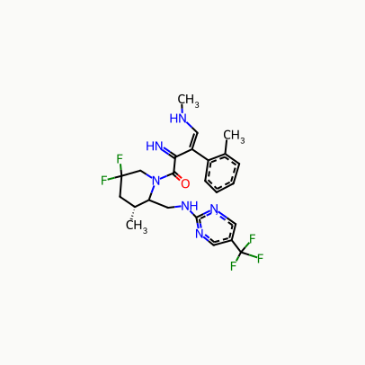 CN/C=C(\C(=N)C(=O)N1CC(F)(F)C[C@@H](C)C1CNc1ncc(C(F)(F)F)cn1)c1ccccc1C